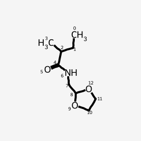 CCC(C)C(=O)NCC1OCCO1